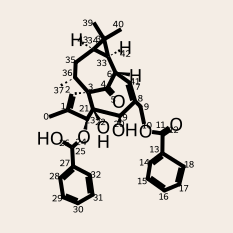 CC1=C[C@]23C(=O)[C@@H](C=C(COC(=O)c4ccccc4)[C@@H](O)[C@]2(O)[C@H]1OC(O)c1ccccc1)[C@H]1[C@@H](C[C@H]3C)C1(C)C